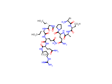 CC(C)[C@H](N)C(=O)N[C@@H](CC(=O)O)C(=O)N[C@@H](C)C(=O)N[C@@H](CCC(N)=O)C(=O)N1CCC[C@H]1C(=O)N[C@@H](CCC(=O)O)C(=O)N[C@@H](CCC(=O)O)C(=O)N[C@@H](CCC(N)=O)C(=O)N[C@@H](CCC(N)=O)C(=O)N[C@@H](CCCNC(=N)N)C(=O)O